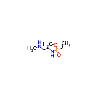 CCP(=O)(NCCNC)OC